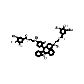 CCN(CCOC(=O)c1cc(C(C)(C)C)c(O)c(C(C)(C)C)c1)c1ccc(C(=C2C=CC(=[N+](CC)CCOC(=O)c3cc(C(C)(C)C)c(O)c(C(C)(C)C)c3)C=C2)c2c(-c3ccccc3)n(CC)c3ccccc23)c(F)c1